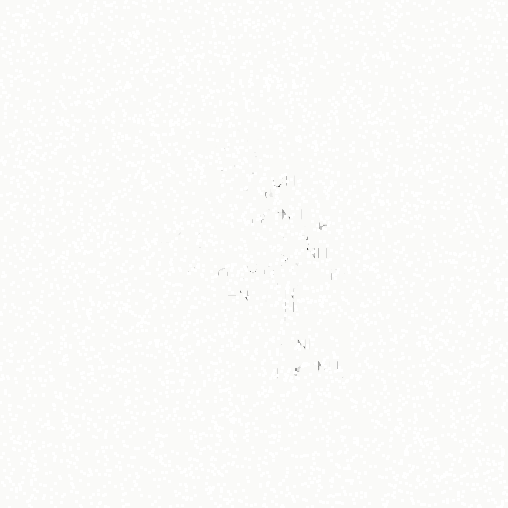 CC(C)C[C@H](NC(=O)[C@H](CCCNC(=N)N)NC(=O)OCc1ccccc1)C(=O)N[C@H](CNC(=O)[C@@H](O)Cc1ccccc1)C(C)C